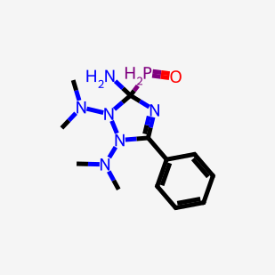 CN(C)N1C(c2ccccc2)=NC(N)([PH2]=O)N1N(C)C